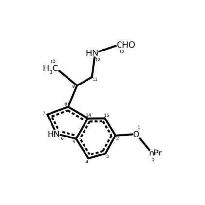 CCCOc1ccc2[nH]cc(C(C)CNC=O)c2c1